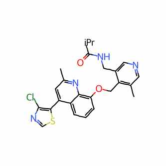 Cc1cc(-c2scnc2Cl)c2cccc(OCc3c(C)cncc3CNC(=O)C(C)C)c2n1